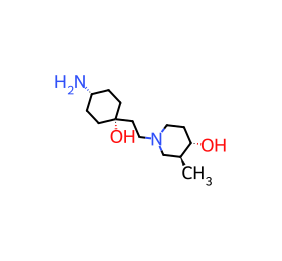 C[C@H]1CN(CC[C@]2(O)CC[C@@H](N)CC2)CC[C@@H]1O